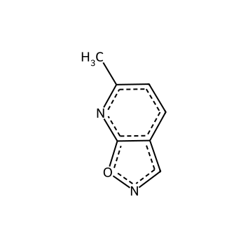 Cc1ccc2cnoc2n1